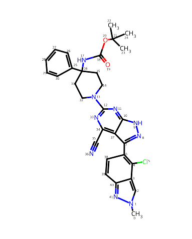 Cn1cc2c(Cl)c(-c3n[nH]c4nc(N5CCC(NC(=O)OC(C)(C)C)(c6ccccc6)CC5)nc(C#N)c34)ccc2n1